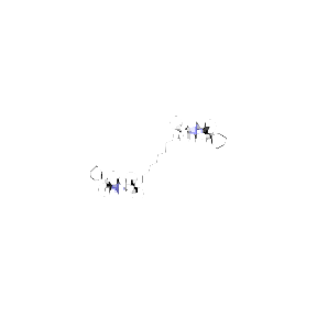 O=S(=O)(CCCCCCCCCCS(=O)(=O)C/N=N/S(=O)(=O)c1ccccc1)C/N=N/S(=O)(=O)c1ccccc1